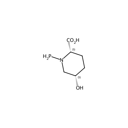 O=C(O)[C@@H]1CC[C@H](O)CN1P